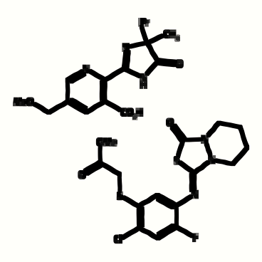 COC(=O)CSc1cc(/N=c2\sc(=O)n3n2CCCC3)c(F)cc1Cl.COCc1cnc(C2=NC(C)(C(C)C)C(=O)N2)c(C(=O)O)c1